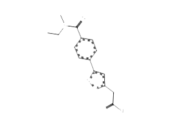 CCN(C)C(=N)c1ccc(-c2cc(CC(N)=O)on2)cc1